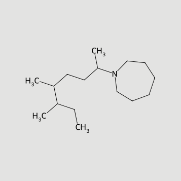 CCC(C)C(C)CCC(C)N1CCCCCC1